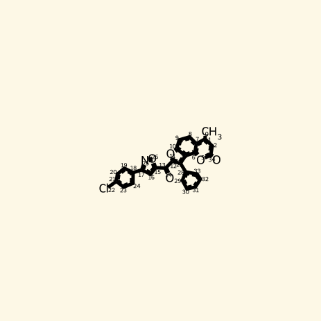 Cc1cc(=O)oc2c1ccc1oc(C(=O)c3cc(-c4ccc(Cl)cc4)no3)c(-c3ccccc3)c12